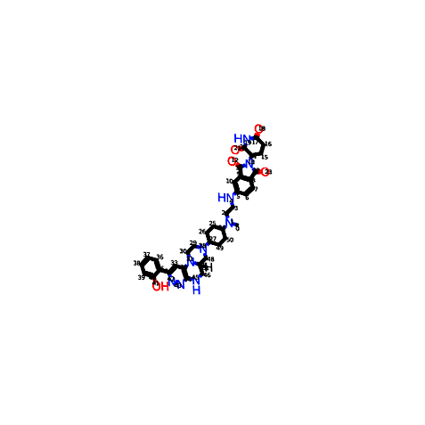 CN(CCNc1ccc2c(c1)C(=O)N(C1CCC(=O)NC1=O)C2=O)C1CCC(N2CCN3c4cc(-c5ccccc5O)nnc4NC[C@H]3C2)CC1